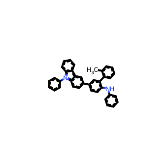 Cc1ccccc1-c1cc(-c2ccc3c(c2)c2ccccc2n3-c2ccccc2)ccc1Nc1ccccc1